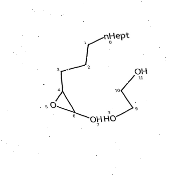 CCCCCCCCCCC1OC1O.OCCO